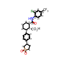 O=C(O)[C@@H]1[C@@H](c2ccc([C@H]3CCS(=O)(=O)C3)cc2)CCC[C@H]1C(=O)Nc1ccc(C(F)(F)F)cc1F